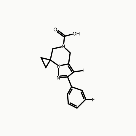 O=C(O)N1Cc2c(I)c(-c3cccc(F)c3)nn2C2(CC2)C1